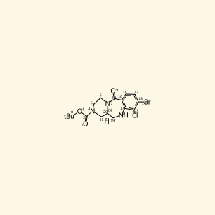 CC(C)(C)OC(=O)N1CCN2C(=O)c3ccc(Br)c(Cl)c3NC[C@H]2C1